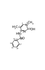 CC1=CN(C)C(O)N=C1NC(=O)c1ccccc1